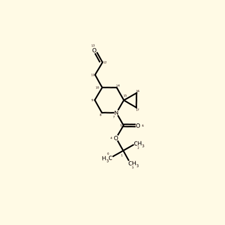 CC(C)(C)OC(=O)N1CCC(CC=O)CC12CC2